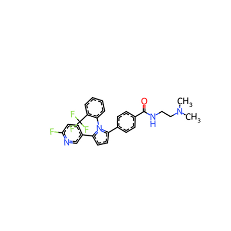 CN(C)CCNC(=O)c1ccc(-c2ccc(-c3ccc(F)nc3)n2-c2ccccc2C(F)(F)F)cc1